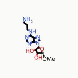 COC[C@H]1O[C@@H](n2cnc3c(NCCCN)ncnc32)C(O)C1O